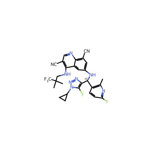 Cc1nc(F)ccc1[C@H](Nc1cc(C#N)c2ncc(C#N)c(NCC(C)(C)C(F)(F)F)c2c1)c1nnn(C2CC2)c1F